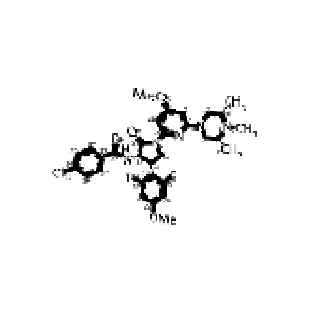 COc1cc(N2C[C@@H](C)N(C)[C@@H](C)C2)nc(N2C[C@@H](c3c(F)cc(OC)cc3F)[C@H](NC(=O)c3ccc(Cl)cc3)C2=O)c1